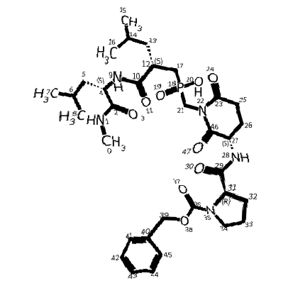 CNC(=O)[C@H](CC(C)C)NC(=O)[C@H](CC(C)C)CP(=O)(O)CN1C(=O)CC[C@H](NC(=O)[C@H]2CCCN2C(=O)OCc2ccccc2)C1=O